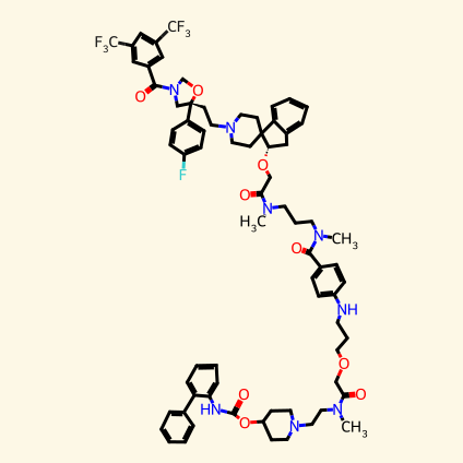 CN(CCN1CCC(OC(=O)Nc2ccccc2-c2ccccc2)CC1)C(=O)COCCCNc1ccc(C(=O)N(C)CCCN(C)C(=O)CO[C@H]2Cc3ccccc3C23CCN(CC[C@@]2(c4ccc(F)cc4)CN(C(=O)c4cc(C(F)(F)F)cc(C(F)(F)F)c4)CO2)CC3)cc1